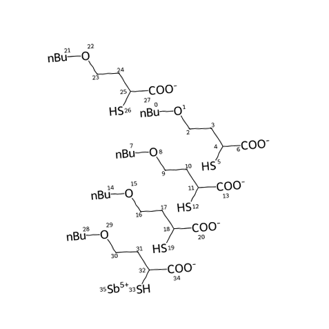 CCCCOCCC(S)C(=O)[O-].CCCCOCCC(S)C(=O)[O-].CCCCOCCC(S)C(=O)[O-].CCCCOCCC(S)C(=O)[O-].CCCCOCCC(S)C(=O)[O-].[Sb+5]